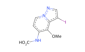 COc1c(NC(=O)O)ccn2ncc(I)c12